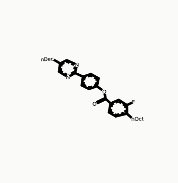 CCCCCCCCCCc1cnc(-c2ccc(OC(=O)c3ccc(CCCCCCCC)c(F)c3)cc2)nc1